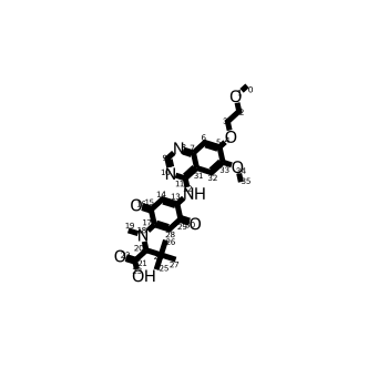 COCCOc1cc2ncnc(NC3=CC(=O)C(N(C)C(C(=O)O)C(C)(C)C)=CC3=O)c2cc1OC